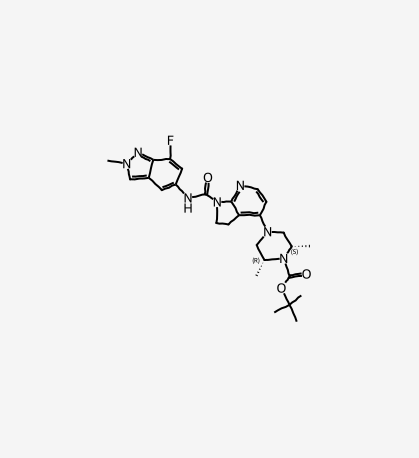 C[C@@H]1CN(c2ccnc3c2CCN3C(=O)Nc2cc(F)c3nn(C)cc3c2)C[C@H](C)N1C(=O)OC(C)(C)C